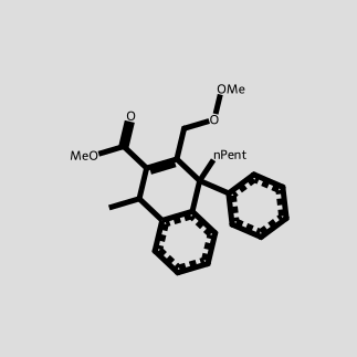 CCCCCC1(c2ccccc2)C(COOC)=C(C(=O)OC)C(C)c2ccccc21